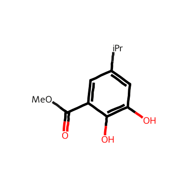 COC(=O)c1cc(C(C)C)cc(O)c1O